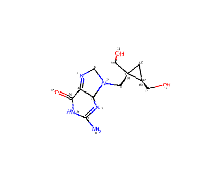 NC1=NC2C(=NCN2C[C@@]2(CO)C[C@H]2CO)C(=O)N1